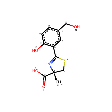 C[C@]1(C(=O)O)CSC(c2cc(CO)ccc2O)=N1